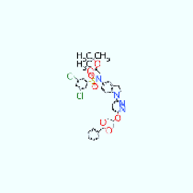 CC(C)(C)OC(=O)CN(c1ccc2c(ccn2-c2ccc(OC3COC(c4ccccc4)OC3)nn2)c1)S(=O)(=O)c1cc(Cl)cc(Cl)c1